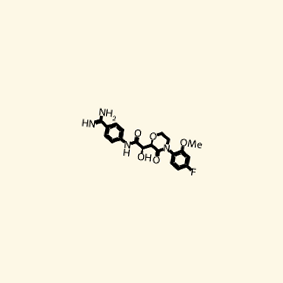 COc1cc(F)ccc1N1CCO[C@H]([C@@H](O)C(=O)Nc2ccc(C(=N)N)cc2)C1=O